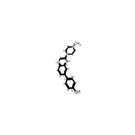 CN1CCN(c2cnc3ccc(-c4ccc(O)cc4)cc3n2)CC1